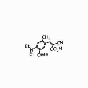 CCN(CC)c1cc(C)c(C=C(C#N)C(=O)O)cc1OC